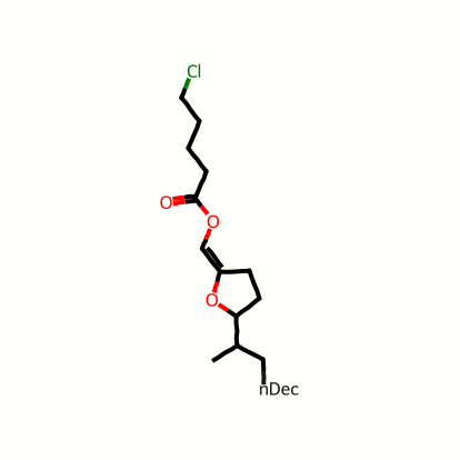 CCCCCCCCCCCC(C)C1CCC(=COC(=O)CCCCCl)O1